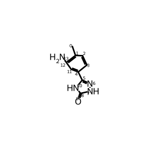 Cc1ccc(-c2n[nH]c(=O)[nH]2)cc1N